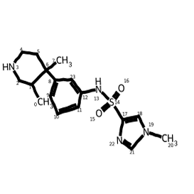 CC1CNCCC1(C)c1cccc(NS(=O)(=O)c2cn(C)cn2)c1